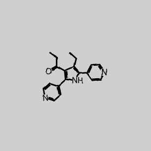 CCC(=O)c1c(-c2ccncc2)[nH]c(-c2ccncc2)c1CC